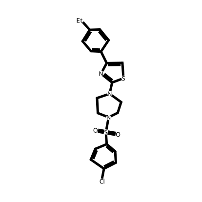 CCc1ccc(-c2csc(N3CCN(S(=O)(=O)c4ccc(Cl)cc4)CC3)n2)cc1